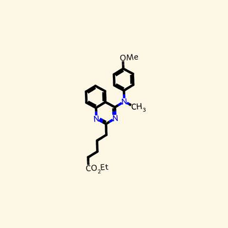 CCOC(=O)CCCCc1nc(N(C)c2ccc(OC)cc2)c2ccccc2n1